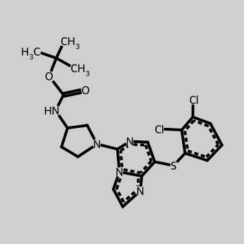 CC(C)(C)OC(=O)NC1CCN(c2ncc(Sc3cccc(Cl)c3Cl)c3nccn23)C1